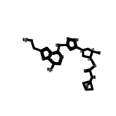 O=C(NC12CC(C1)C2)O[C@H]1C[C@@H](c2cc(Nc3ncc(C(F)(F)F)c4nc(COC(F)(F)F)cn34)n[nH]2)C[C@H]1F